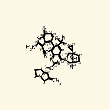 C=C1CN2CCC[C@@]2(COc2nc(N3C[C@@H]4CC[C@](C5CC5)(C3)N4)c3cc(C(F)(F)F)c(-c4ccc(F)c5sc(N)c(C#N)c45)c(F)c3n2)C1